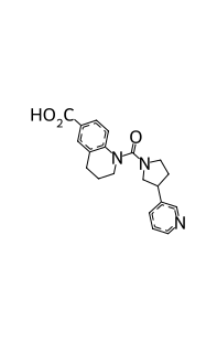 O=C(O)c1ccc2c(c1)CCCN2C(=O)N1CCC(c2cccnc2)C1